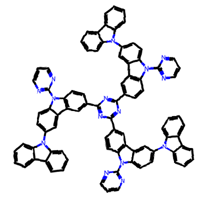 c1cnc(-n2c3ccc(-c4nc(-c5ccc6c(c5)c5cc(-n7c8ccccc8c8ccccc87)ccc5n6-c5ncccn5)nc(-c5ccc6c(c5)c5cc(-n7c8ccccc8c8ccccc87)ccc5n6-c5ncccn5)n4)cc3c3cc(-n4c5ccccc5c5ccccc54)ccc32)nc1